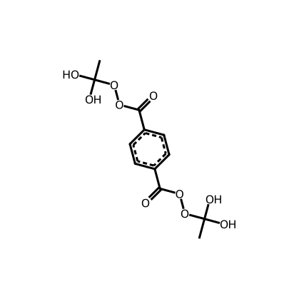 CC(O)(O)OOC(=O)c1ccc(C(=O)OOC(C)(O)O)cc1